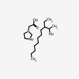 CCCCCCCCC(CC)C(C)O.O=C(O)CN1CCNC1